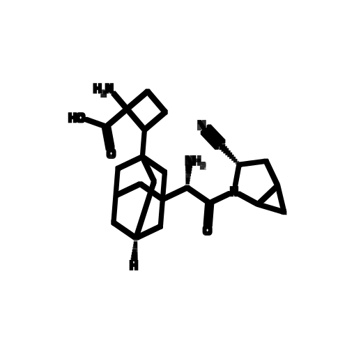 N#C[C@@H]1CC2CC2N1C(=O)[C@@H](N)C12CC3C[C@@H](CC(C4CCC4(N)C(=O)O)(C3)C1)C2